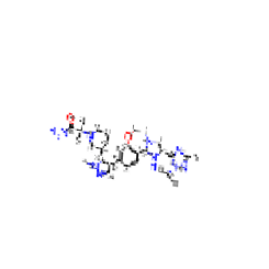 Cc1nc(C2=CN3CCOc4cc(-c5cnn(C)c5C5CCCN(C(C)(C)C(N)=O)C5)ccc4C3N2)n(C(C)C)n1